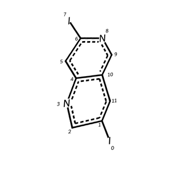 Ic1cnc2cc(I)ncc2c1